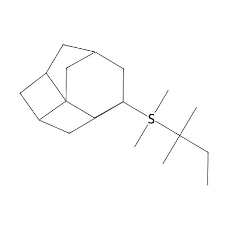 CCC(C)(C)S(C)(C)C12CC3CC4CC(C1)C4(C3)C2